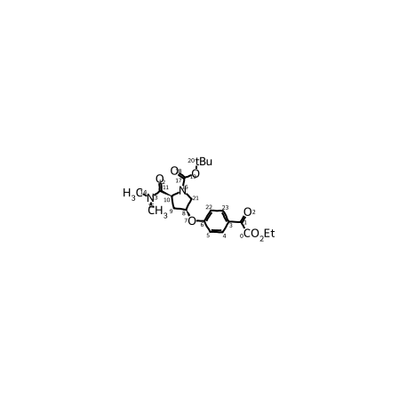 CCOC(=O)C(=O)c1ccc(O[C@H]2C[C@@H](C(=O)N(C)C)N(C(=O)OC(C)(C)C)C2)cc1